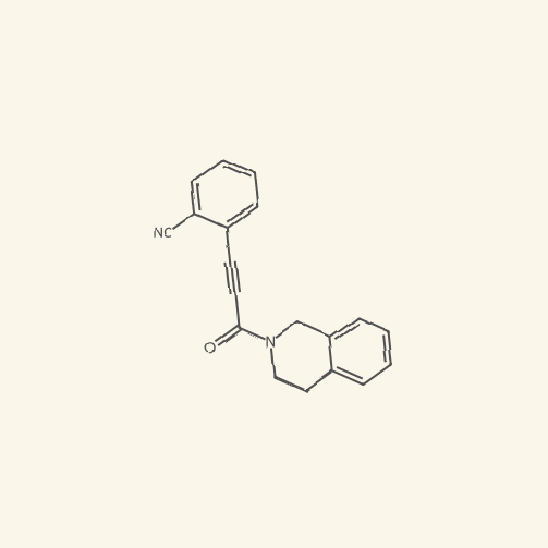 N#Cc1ccccc1C#CC(=O)N1CCc2ccccc2C1